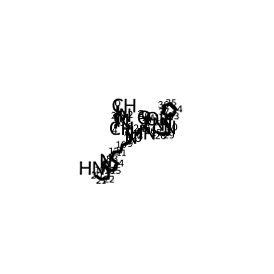 Cc1cc(C)n(CCN(CCCCc2ccc3c(n2)NCCC3)CC[C@H](Nc2ccnc(-c3ccccc3)n2)C(=O)O)n1